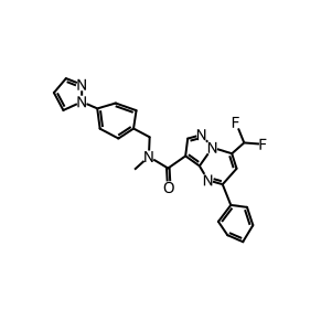 CN(Cc1ccc(-n2cccn2)cc1)C(=O)c1cnn2c(C(F)F)cc(-c3ccccc3)nc12